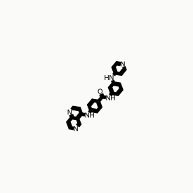 O=C(Nc1cccc(Nc2ccncc2)c1)c1ccc(Nc2ccnc3ccncc23)cc1